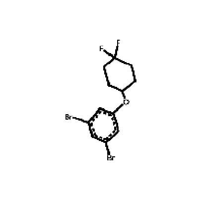 FC1(F)CCC(Oc2cc(Br)cc(Br)c2)CC1